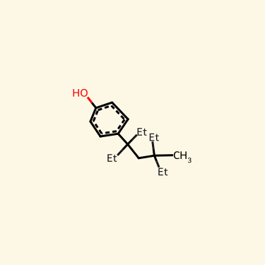 CCC(C)(CC)CC(CC)(CC)c1ccc(O)cc1